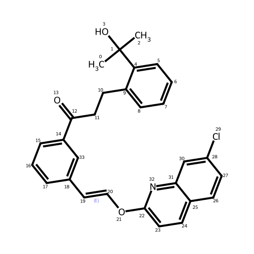 CC(C)(O)c1ccccc1CCC(=O)c1cccc(/C=C/Oc2ccc3ccc(Cl)cc3n2)c1